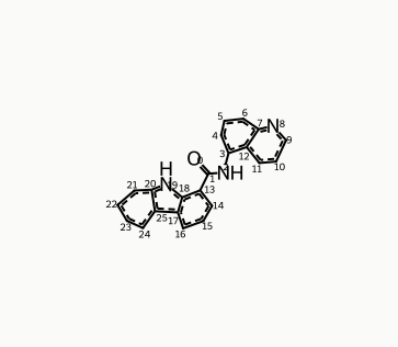 O=C(Nc1cccc2ncccc12)c1cccc2c1[nH]c1ccccc12